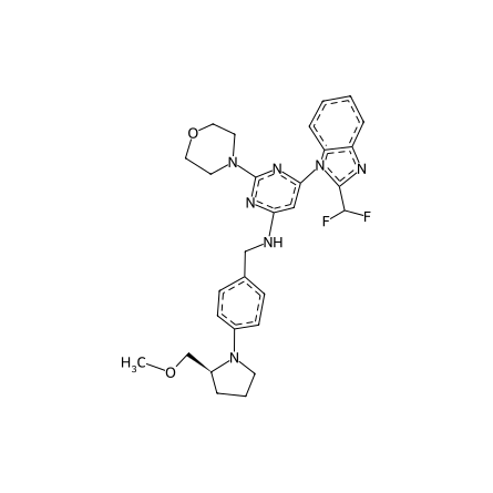 COC[C@@H]1CCCN1c1ccc(CNc2cc(-n3c(C(F)F)nc4ccccc43)nc(N3CCOCC3)n2)cc1